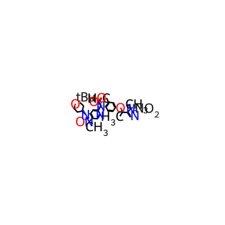 Cc1cc(OC(C)c2cnc([N+](=O)[O-])n2C)ccc1N(C(=O)OC(C)(C)C)c1cc2c(cn1)n(C)c(=O)n2C1CCOCC1